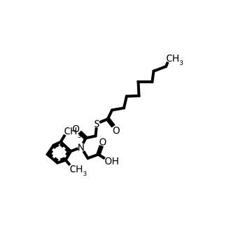 CCCCCCCCCC(=O)SCC(=O)N(CC(=O)O)c1c(C)cccc1C